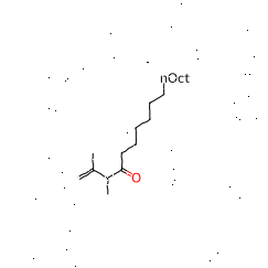 C=C(C)C(C)C(=O)CCCCCCCCCCCCCC